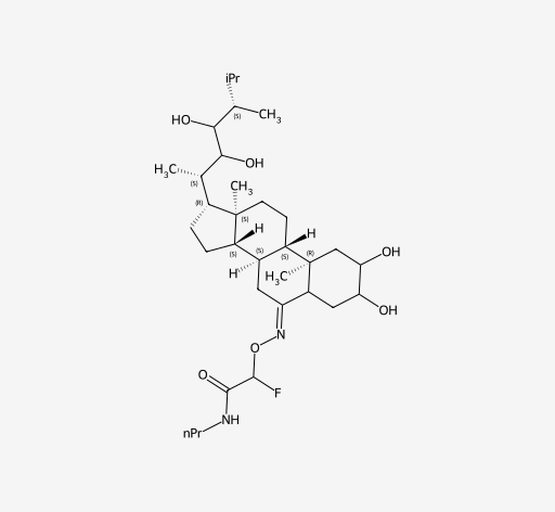 CCCNC(=O)C(F)ON=C1C[C@H]2[C@@H]3CC[C@H]([C@H](C)C(O)C(O)[C@@H](C)C(C)C)[C@@]3(C)CC[C@@H]2[C@@]2(C)CC(O)C(O)CC12